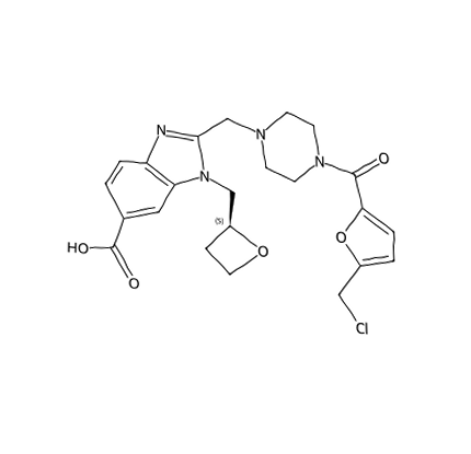 O=C(O)c1ccc2nc(CN3CCN(C(=O)c4ccc(CCl)o4)CC3)n(C[C@@H]3CCO3)c2c1